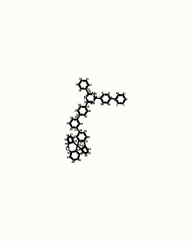 c1ccc(-c2ccc(-c3nc(-c4ccccc4)nc(-c4ccc(-c5cccc(-c6ccc7c(c6)C6(c8ccccc8Oc8ccccc86)c6ccccc6-7)c5)cc4)n3)cc2)cc1